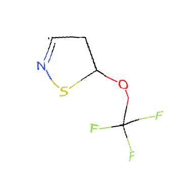 FC(F)(F)OC1C[C]=NS1